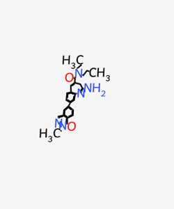 CCCN(CCC)C(=O)C1=Cc2ccc(-c3ccc4c(=O)n(CC)ncc4c3)cc2N=C(N)C1